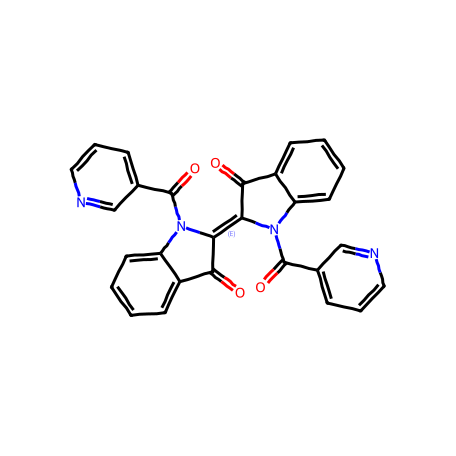 O=C1/C(=C2/C(=O)c3ccccc3N2C(=O)c2cccnc2)N(C(=O)c2cccnc2)c2ccccc21